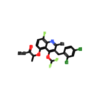 CCc1nc2c(F)ccc(OC(C)C(=O)OC)c2c(OC(F)F)c1Cc1ccc(Cl)cc1Cl